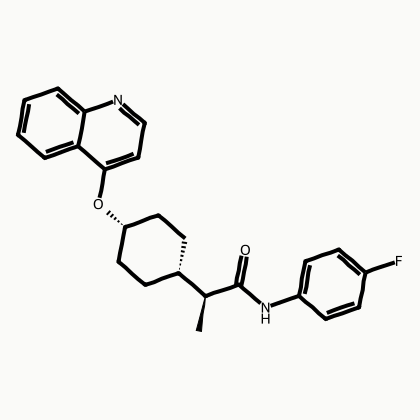 C[C@H](C(=O)Nc1ccc(F)cc1)[C@H]1CC[C@@H](Oc2ccnc3ccccc23)CC1